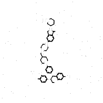 COc1cc([C@@H]2COc3cc(O)ccc3[C@@H]2c2ccc(N3CCC(CN4CCN(c5ccc6c(c5)CN([C@H]5CCCNC5)C6=O)CC4)CC3)cc2)ccc1F